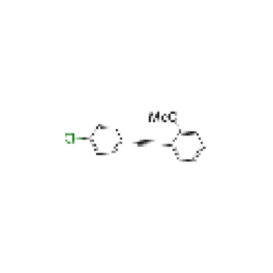 COc1c[c]ccc1C#Cc1ccc(Cl)cc1